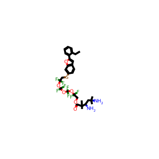 CCc1ccccc1-c1cc2ccc(SCC(F)(F)OC(F)(F)OC(F)(F)OC(F)(F)COC(=O)C(C)(C)C(N)CC(C)(C)N)cc2o1